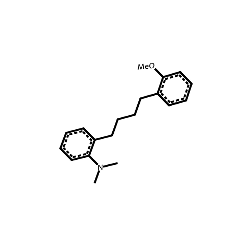 COc1ccccc1CCCCc1ccccc1N(C)C